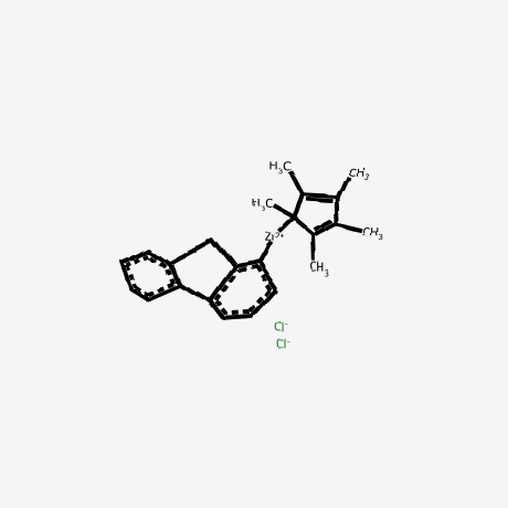 CC1=C(C)[C](C)([Zr+2][c]2cccc3c2Cc2ccccc2-3)C(C)=C1C.[Cl-].[Cl-]